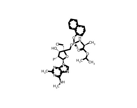 CNc1nc(C)nc2c1ncn2[C@@H]1O[C@](CCl)(COP(=S)(N[C@@H](C)C(=O)OC(C)C)Oc2cccc3ccccc23)[C@@H](O)[C@H]1F